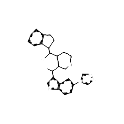 CCC(c1c[nH]c2ccc(-n3cnnc3)cc12)C1CNCCC1C(N)C1CCc2ccccc21